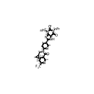 CCCn1c(=O)c2[nH]c(-c3ccc(N(CC4CC4)C(=O)c4ccc(C(F)(F)F)nc4)nc3)nc2n(CCC)c1=O